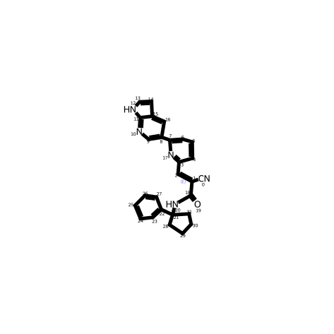 N#C/C(=C\c1cccc(-c2cnc3[nH]ccc3c2)n1)C(=O)NC1(c2ccccc2)CCCC1